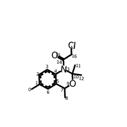 Cc1ccc2c(c1)C(C)OC(C)(C)N2C(=O)CCl